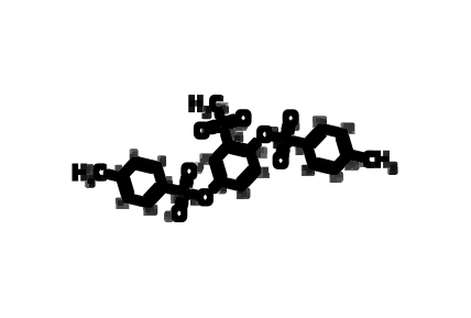 Cc1ccc(S(=O)(=O)Oc2ccc(OS(=O)(=O)c3ccc(C)cc3)c(S(C)(=O)=O)c2)cc1